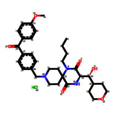 CCCCN1C(=O)[C@@H]([C@H](O)C2CCOCC2)NC(=O)C12CCN(Cc1ccc(C(=O)c3ccc(OC)cc3)cc1)CC2.Cl